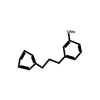 COc1cccc([CH]CCc2ccccc2)c1